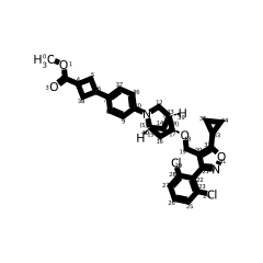 COC(=O)C1CC(c2ccc(N3C[C@@H]4C[C@H]3C[C@H]4OCc3c(-c4c(Cl)cccc4Cl)noc3C3CC3)cc2)C1